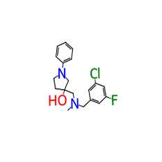 CN(Cc1cc(F)cc(Cl)c1)CC1(O)CCN(c2ccccc2)C1